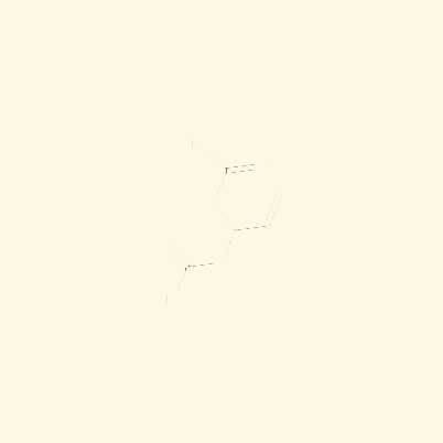 C=CC(OC(=O)O)OC(=O)O